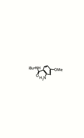 CCC(C)NC(=O)c1ccc(OC)cc1N